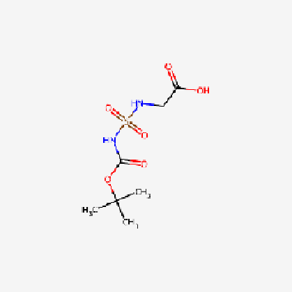 CC(C)(C)OC(=O)NS(=O)(=O)NCC(=O)O